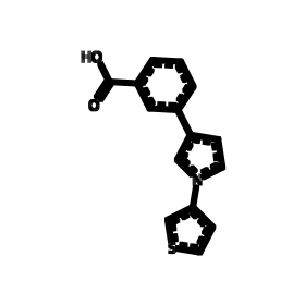 O=C(O)c1cccc(-c2ccn(-c3ccsc3)c2)c1